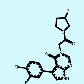 O=C(Cn1cnc2[nH]cc(-c3ccc(Cl)c(F)c3)c2c1=O)N1CCC(F)C1